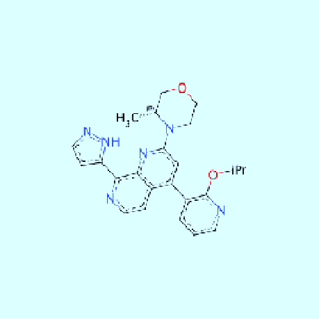 CC(C)Oc1ncccc1-c1cc(N2CCOC[C@H]2C)nc2c(-c3ccn[nH]3)nccc12